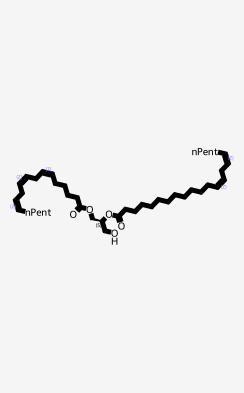 CCCCC/C=C\C/C=C\C/C=C\CCCCC(=O)OC[C@H](CO)OC(=O)CCCCCCCCCCC/C=C\C/C=C\CCCCC